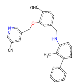 Cc1c(NCc2ccc(C=O)c(OCc3cncc(C#N)c3)c2)cccc1-c1ccccc1